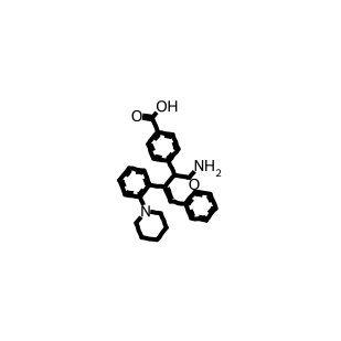 NC(=O)C(/C(=C\c1ccccc1)c1ccccc1N1CCCCC1)c1ccc(C(=O)O)cc1